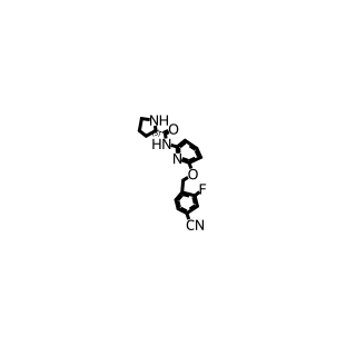 N#Cc1ccc(COc2cccc(NC(=O)[C@@H]3CCCN3)n2)c(F)c1